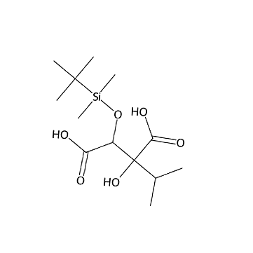 CC(C)C(O)(C(=O)O)C(O[Si](C)(C)C(C)(C)C)C(=O)O